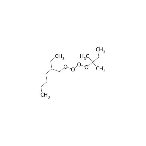 CCCCC(CC)COOOOC(C)(C)CC